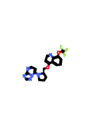 FC(F)(F)Oc1cccc2c(OC[C@H]3CCCN3c3ccnc4ncnn34)ccnc12